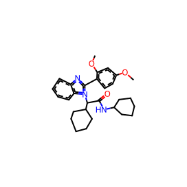 COc1ccc(-c2nc3ccccc3n2C(C(=O)NC2CCCCC2)C2CCCCC2)c(OC)c1